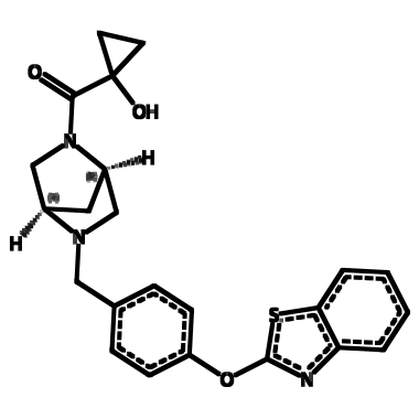 O=C(N1C[C@H]2C[C@@H]1CN2Cc1ccc(Oc2nc3ccccc3s2)cc1)C1(O)CC1